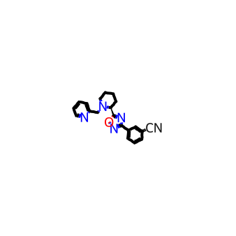 N#Cc1cccc(-c2noc([C@@H]3CCCCN3Cc3ccccn3)n2)c1